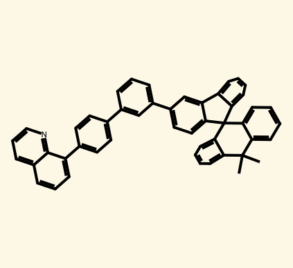 CC1(C)c2ccccc2C2(c3ccccc3-c3cc(-c4cccc(-c5ccc(-c6cccc7cccnc67)cc5)c4)ccc32)c2ccccc21